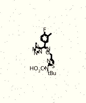 Cc1cc(C(=NOCc2csc(N(C(=O)O)C(C)(C)C)n2)c2nnnn2C)ccc1F